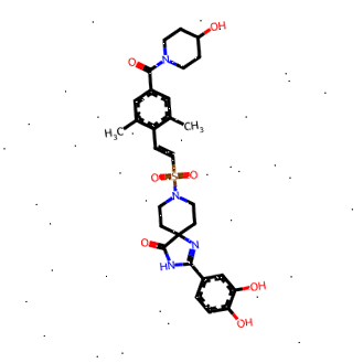 Cc1cc(C(=O)N2CCC(O)CC2)cc(C)c1/C=C/S(=O)(=O)N1CCC2(CC1)N=C(c1ccc(O)c(O)c1)NC2=O